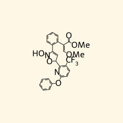 CO/C=C(\C(=O)OC)c1ccccc1C1=CC(c2nc(Oc3ccccc3)ccc2C(F)(F)F)ON1O